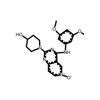 COc1cc(Nc2nc(N3CCC(O)CC3)nc3cc[n+]([O-])cc23)cc(OC)c1